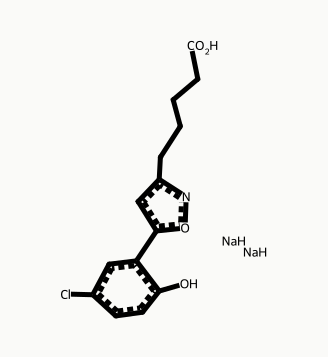 O=C(O)CCCCc1cc(-c2cc(Cl)ccc2O)on1.[NaH].[NaH]